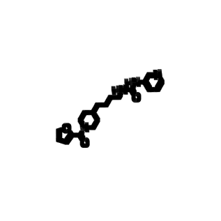 O=C(NCCCCC1CCN(C(=O)c2ccco2)CC1)Nc1cccnc1